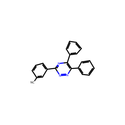 N#Cc1cccc(-c2nnc(-c3ccccc3)c(-c3ccccc3)n2)c1